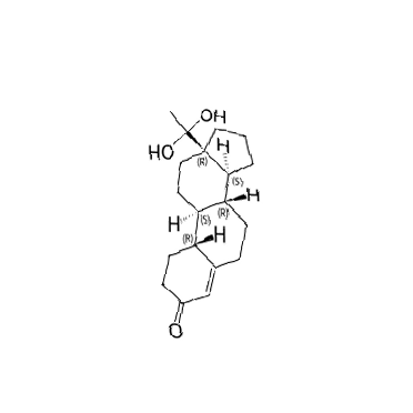 CC(O)(O)[C@@]12CCC[C@H]1[C@@H]1CCC3=CC(=O)CC[C@@H]3[C@H]1CC2